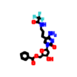 Nc1nc(=O)n([C@H]2C[C@H](O)[C@@H](COC(=O)c3ccccc3)O2)cc1C=CCNC(=O)C(F)(F)F